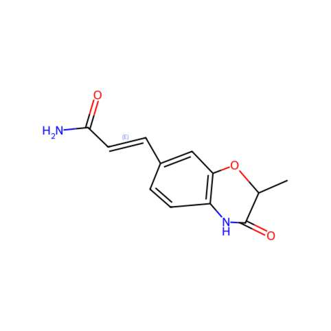 CC1Oc2cc(/C=C/C(N)=O)ccc2NC1=O